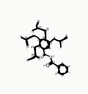 CC(C)Cc1cc(C(=O)OC(=O)c2ccccc2)c(CC(C)C)c(CC(C)C)c1CC(C)C